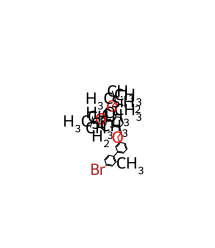 Cc1cc(Br)ccc1-c1cccc(OCc2ccc(C(C)(C)O[SiH2]C(C)(C)C)c(C(C)(C)O[SiH2]C(C)(C)C)c2)c1